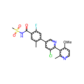 COc1ccnc(C)c1-c1ncc(-c2cc(F)c(C(=O)NS(C)(=O)=O)cc2C)cc1Cl